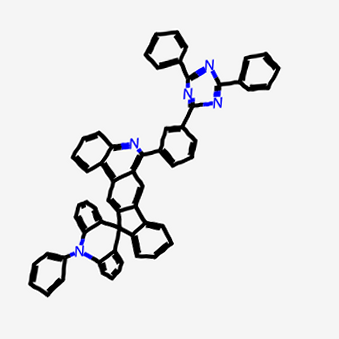 c1ccc(-c2nc(-c3ccccc3)nc(-c3cccc(-c4nc5ccccc5c5cc6c(cc45)-c4ccccc4C64c5ccccc5N(c5ccccc5)c5ccccc54)c3)n2)cc1